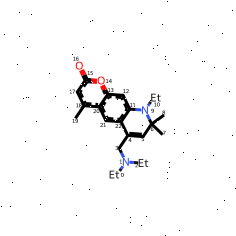 CCN(CC)CC1=CC(C)(C)N(CC)c2cc3oc(=O)cc(C)c3cc21